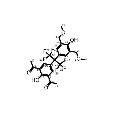 COCc1cc(C(c2cc(C(C)=O)c(O)c(C(C)=O)c2)(C(F)(F)F)C(F)(F)F)cc(COC)c1O